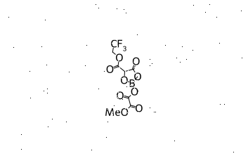 COC(=O)C(=O)OB1OC(=O)C(C(=O)OCC(F)(F)F)O1